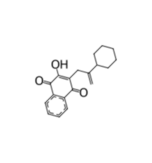 C=C(CC1=C(O)C(=O)c2ccccc2C1=O)C1CCCCC1